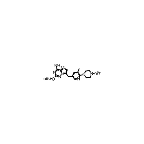 CCCCOc1nc(N)c2ncc(Cc3cnc(N4CCN(CCC)CC4)c(C)c3)n2n1